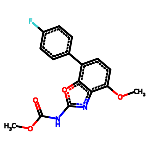 COC(=O)Nc1nc2c(OC)ccc(-c3ccc(F)cc3)c2o1